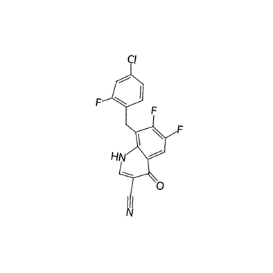 N#Cc1c[nH]c2c(Cc3ccc(Cl)cc3F)c(F)c(F)cc2c1=O